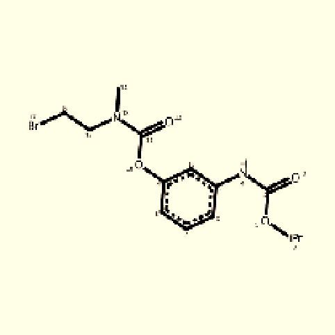 CC(C)OC(=O)Nc1cccc(OC(=O)N(C)CCBr)c1